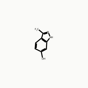 Oc1ccc2c(C(F)(F)F)n[nH]c2c1